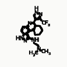 CN(C)CCNc1n[nH]c2ccc3nc(-c4c[nH]nc4C(F)(F)F)c4c(c3c12)CCCC4